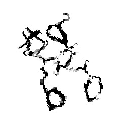 CC1(C)OB([C@H](CCCc2ccccc2)NC(=O)[C@@H](CC(=O)N2CCOCC2)NS(=O)(=O)c2cccc(Cl)c2)OC1(C)C